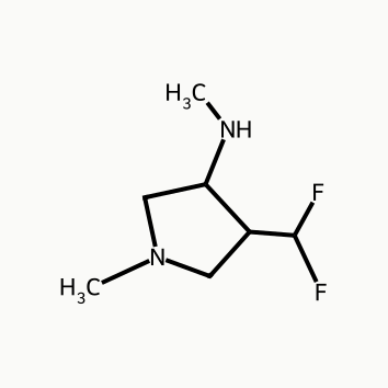 CNC1CN(C)CC1C(F)F